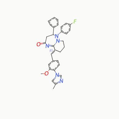 COc1cc(/C=C2\CCCN3C2=NC(=O)CC(c2ccccc2)N3c2ccc(F)cc2)ccc1-n1cnc(C)c1